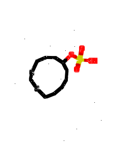 O=S(=O)(O)OC1CCCCCCCCCCC1